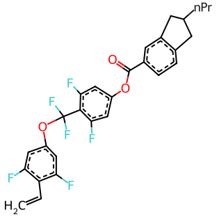 C=Cc1c(F)cc(OC(F)(F)c2c(F)cc(OC(=O)c3ccc4c(c3)CC(CCC)C4)cc2F)cc1F